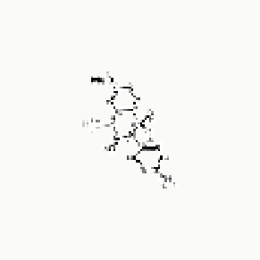 COc1ccc2c(c1)N(C)C(=O)N(c1ccc(C)cc1)S2(=O)=O